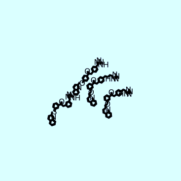 O=C(Cc1ccc(-c2nnn[nH]2)cc1)c1ccc(OCc2ccc3ccccc3n2)cc1.O=C(Cc1ccc(CCCc2nnn[nH]2)cc1)c1cccc(OCc2ccc3ccccc3n2)c1.O=C(Cc1ccc(Cc2nnn[nH]2)cc1)c1cccc(OCc2ccc3ccccc3n2)c1.O=C(Cc1cccc(-c2nnn[nH]2)c1)c1cccc(SCc2ccc3ccccc3n2)c1